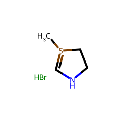 Br.CS1=CNCC1